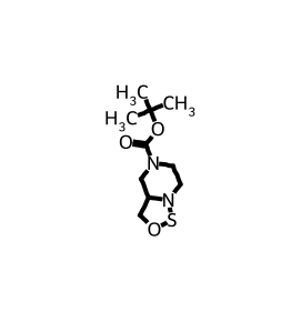 CC(C)(C)OC(=O)N1CCN2SOCC2C1